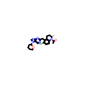 CC(=O)N1c2ccc(Br)c(Cc3ncc4c(ncn4C4CCCCO4)n3)c2CC[C@@H]1C